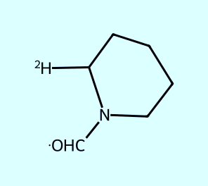 [2H]C1CCCCN1[C]=O